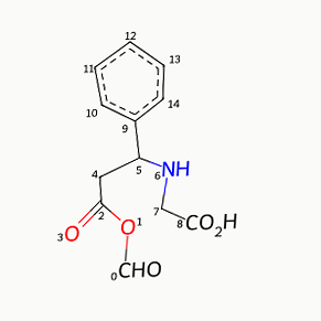 O=COC(=O)CC(NCC(=O)O)c1ccccc1